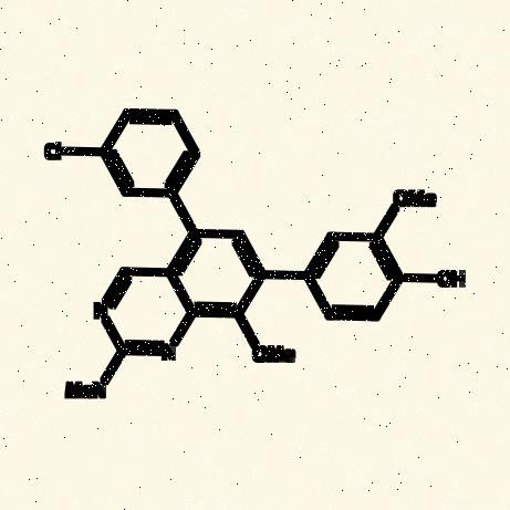 CNc1ncc2c(-c3cccc(Cl)c3)cc(-c3ccc(O)c(OC)c3)c(OC)c2n1